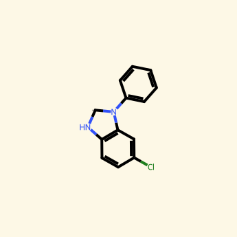 Clc1ccc2c(c1)N(c1ccccc1)[CH]N2